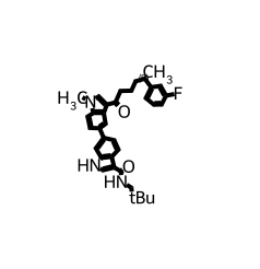 C[C@H](CCCC(=O)c1cn(C)c2ccc(-c3ccc4c(C(=O)NCC(C)(C)C)c[nH]c4c3)cc12)c1cccc(F)c1